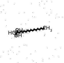 CCCCCCCCCCCCCCCCC(O)[C](O)O